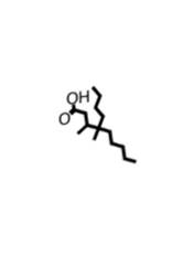 CCCCCC(C)(CCCC)C(C)CC(=O)O